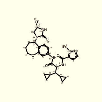 CC(C)n1nccc1C(=O)N[C@H](C(=O)Nc1ccc2c(c1)OCCC[C@H]2N1C[C@@H](C(F)(F)F)NC1=O)C(C1CC1)C1CC1